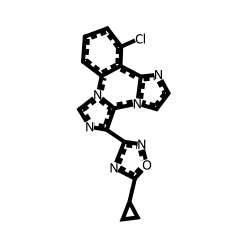 Clc1cccc2c1c1nccn1c1c(-c3noc(C4CC4)n3)ncn21